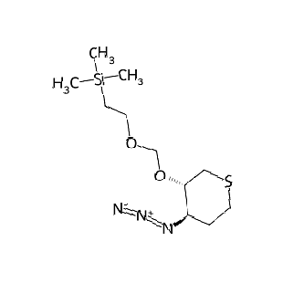 C[Si](C)(C)CCOCO[C@@H]1CSCC[C@H]1N=[N+]=[N-]